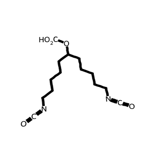 O=C=NCCCCCC(CCCCCN=C=O)OC(=O)O